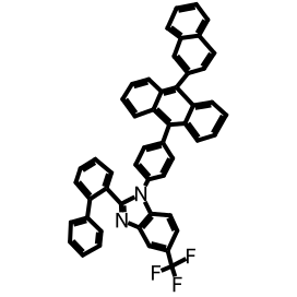 FC(F)(F)c1ccc2c(c1)nc(-c1ccccc1-c1ccccc1)n2-c1ccc(-c2c3ccccc3c(-c3ccc4ccccc4c3)c3ccccc23)cc1